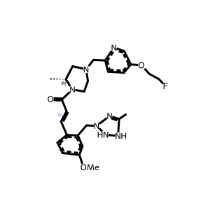 COc1ccc(/C=C/C(=O)N2CCN(Cc3ccc(OCCF)cn3)C[C@H]2C)c(CN2N=C(C)NN2)c1